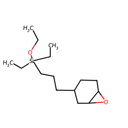 CCO[Si](CC)(CC)CCCC1CCC2OC2C1